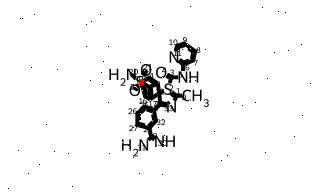 CC1=S(C(=O)Nc2ccccn2)C2(C3=CC=CC2=C3S(N)(=O)=O)C(c2cccc(C(=N)N)c2)=N1